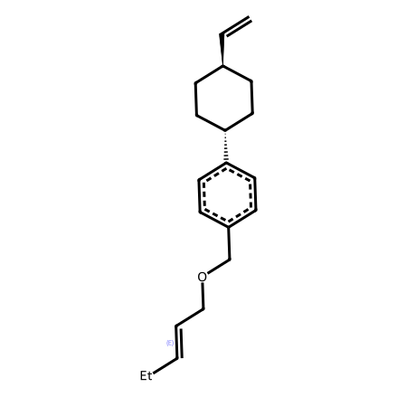 C=C[C@H]1CC[C@H](c2ccc(COC/C=C/CC)cc2)CC1